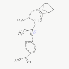 C/C(=C\c1ccc(C(=O)O)cc1)c1cc2c(cc1C)C1CCC2C1